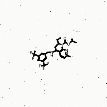 CCC1CC(NCc2cc(C(F)(F)F)cc(C(F)(F)F)c2)c2ccc(C)nc2N1C(=O)OC(C)C